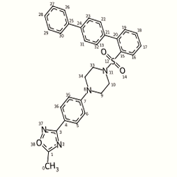 Cc1nc(-c2ccc(N3CCN(S(=O)(=O)c4ccccc4-c4ccc(-c5ccccc5)cc4)CC3)cc2)no1